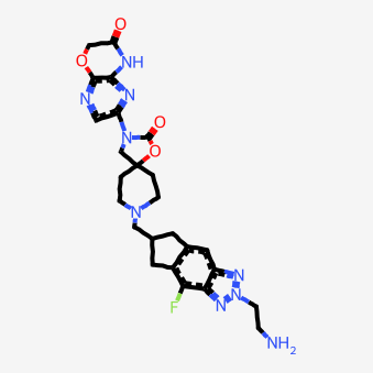 NCCn1nc2cc3c(c(F)c2n1)CC(CN1CCC2(CC1)CN(c1cnc4c(n1)NC(=O)CO4)C(=O)O2)C3